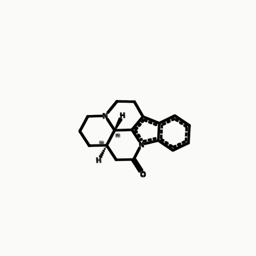 O=C1C[C@H]2CCCN3CCc4c(n1c1ccccc41)[C@H]23